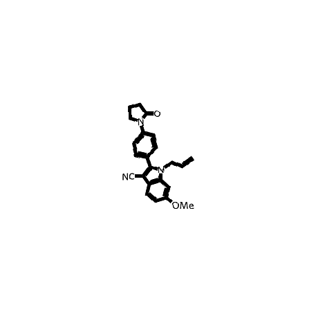 C=CCn1c(-c2ccc(N3CCCC3=O)cc2)c(C#N)c2ccc(OC)cc21